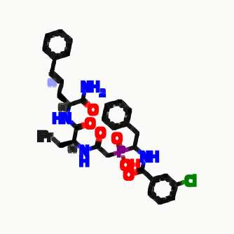 CC(C)C[C@H](NC(=O)CP(=O)(O)C(Cc1ccccc1)NC(=O)c1cccc(Cl)c1)C(=O)N[C@@H](C/C=C/c1ccccc1)C(N)=O